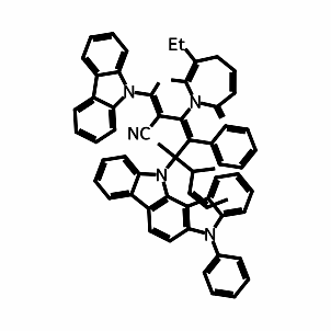 C=C1C=CCC(CC)=C(C)N1C(/C(C#N)=C(\C)n1c2ccccc2c2ccccc21)=C(\c1ccccc1)C(C)(C(C)/C=C\C)n1c2ccccc2c2ccc3c(c4ccccc4n3-c3ccccc3)c21